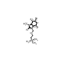 Cn1c(=O)n(COCC[Si](C)(C)C)c2c(F)cc(Br)c(F)c21